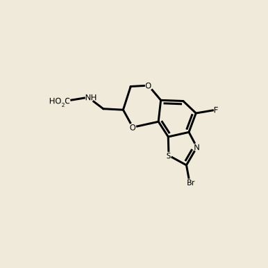 O=C(O)NCC1COc2cc(F)c3nc(Br)sc3c2O1